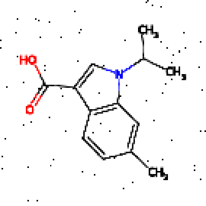 Cc1ccc2c(C(=O)O)cn(C(C)C)c2c1